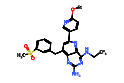 CCOc1ccc(-c2cc(Cc3cccc(S(C)(=O)=O)c3)c3nc(N)nc(NCC(F)(F)F)c3n2)cn1